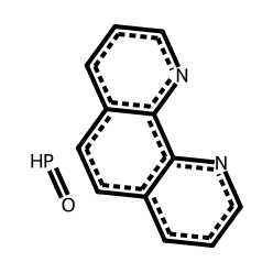 O=P.c1cnc2c(c1)ccc1cccnc12